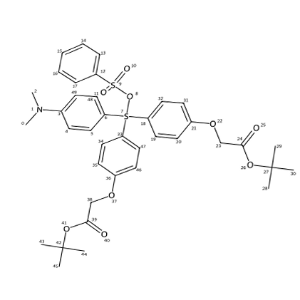 CN(C)c1ccc(S(OS(=O)(=O)c2ccccc2)(c2ccc(OCC(=O)OC(C)(C)C)cc2)c2ccc(OCC(=O)OC(C)(C)C)cc2)cc1